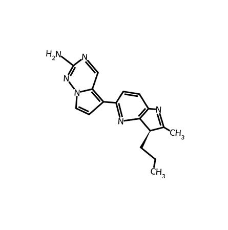 CCC[C@@H]1C(C)=Nc2ccc(-c3ccn4nc(N)ncc34)nc21